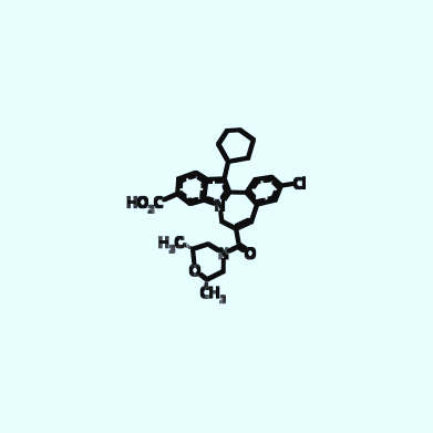 C[C@@H]1CN(C(=O)C2=Cc3cc(Cl)ccc3-c3c(C4CCCCC4)c4ccc(C(=O)O)cc4n3C2)C[C@H](C)O1